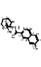 O=C(N[C@H]1CC2CCN1CC2)c1cc2cc(F)ccc2cn1